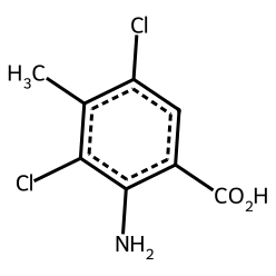 Cc1c(Cl)cc(C(=O)O)c(N)c1Cl